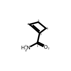 NC(=O)C1=[C]CC1